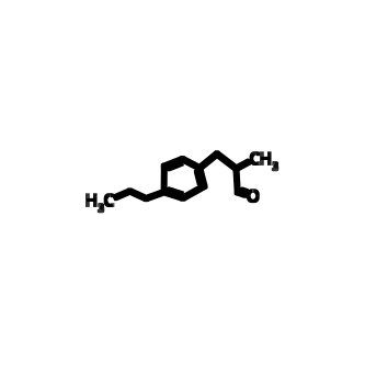 CCCc1ccc(CC(C)C=O)cc1